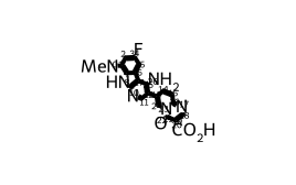 CNc1cc(F)cc2c1[nH]c1ncc(-c3ccc4ncc(C(=O)O)c(=O)n4c3)c(N)c12